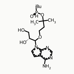 CCC(C)[PH](=O)OC(C)(C)CCOC([C@H](O)CO)n1ccc2c(N)ncnc21